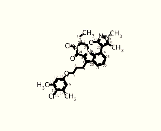 CC[C@@H]1Cn2c(c(CCCOc3cc(C)c(Cl)c(C)c3)c3cccc(-c4c(C)nn(C)c4C)c32)C(=O)N1Cl